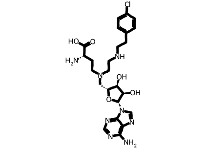 Nc1ncnc2c1ncn2[C@@H]1O[C@H](CN(CCNCCc2ccc(Cl)cc2)CC[C@H](N)C(=O)O)[C@@H](O)[C@H]1O